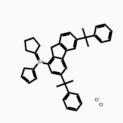 CC(C)(c1ccccc1)c1ccc2c(c1)-c1cc(C(C)(C)c3ccccc3)c[c]([Ti+2]([C]3=CC=CC3)=[C]3CCCC3)c1C2.[Cl-].[Cl-]